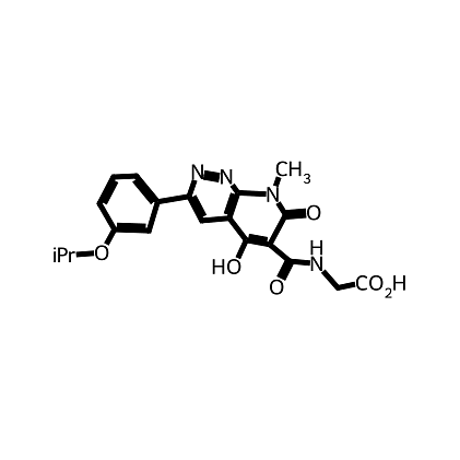 CC(C)Oc1cccc(-c2cc3c(O)c(C(=O)NCC(=O)O)c(=O)n(C)c3nn2)c1